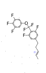 C/C=C/CCc1cc(F)c(C(F)(F)Oc2cc(F)c(F)c(F)c2)c(F)c1